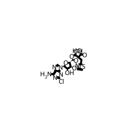 Nc1nc(Cl)nc2c1ncn2[C@@H]1O[C@H](COC(Cc2nccs2)(C(=O)O)C(=O)O)[C@H](O)[C@H]1O